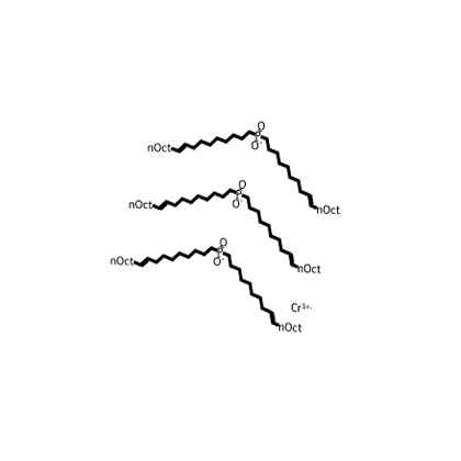 CCCCCCCCC=CCCCCCCCCP(=O)([O-])CCCCCCCCC=CCCCCCCCC.CCCCCCCCC=CCCCCCCCCP(=O)([O-])CCCCCCCCC=CCCCCCCCC.CCCCCCCCC=CCCCCCCCCP(=O)([O-])CCCCCCCCC=CCCCCCCCC.[Cr+3]